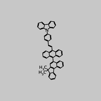 CC1(C)c2ccccc2-c2c1cc(-c1c3ccccc3c(/C=C/c3ccc(-n4c5ccccc5c5ccccc54)cc3)c3ccccc13)c1ccccc21